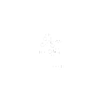 COc1cc(C(=O)N(C)c2ccc(C)cc2OCCCCCC(=O)O)ccc1NC(=O)c1cc(C)ccc1-c1ccccc1